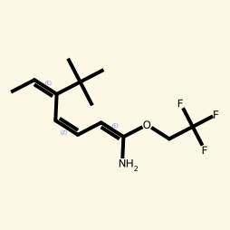 C\C=C(/C=C\C=C(/N)OCC(F)(F)F)C(C)(C)C